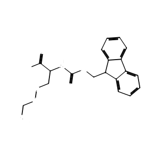 NCSSCC(NC(=O)OCC1c2ccccc2-c2ccccc21)C(=O)O